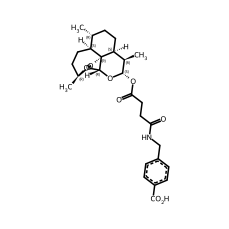 C[C@H]1[C@H](OC(=O)CCC(=O)NCc2ccc(C(=O)O)cc2)O[C@@H]2O[C@@]3(C)CC[C@H]4[C@H](C)CC[C@@H]1[C@@]24OO3